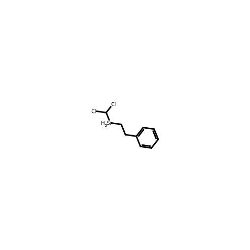 ClC(Cl)[SiH2]CCc1ccccc1